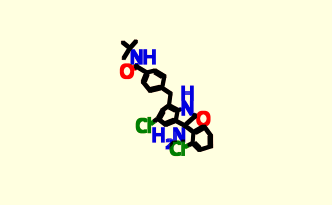 CC(C)(C)NC(=O)c1ccc(Cc2cc(Cl)cc3c2NC(=O)C3(N)c2ccccc2Cl)cc1